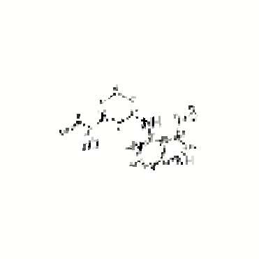 C=CC(=O)N1CCCC(Nc2ncnc3[nH]cc(C=O)c23)C1